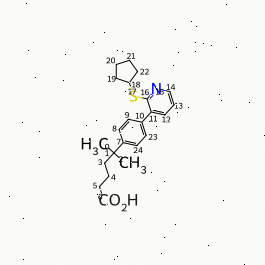 CC(C)(CCCC(=O)O)c1ccc(-c2cccnc2SC2CCCC2)cc1